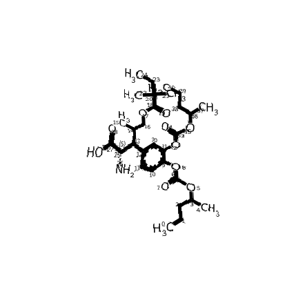 CCCC(C)OC(=O)Oc1ccc(C(C(C)COC(=O)C(C)(C)CC)[C@H](N)C(=O)O)cc1OC(=O)OC(C)CCC